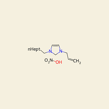 C=CCN1C=CN(CCCCCCCC)C1.O=[N+]([O-])O